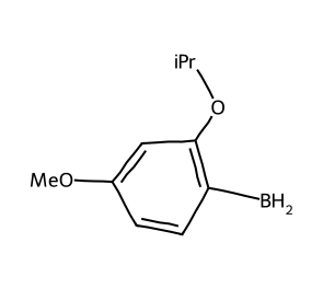 Bc1ccc(OC)cc1OC(C)C